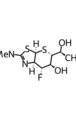 CNC1=N[C@H]2[C@@H](S1)S[C@H]([C@H](C)O)[C@@H](O)[C@@H]2F